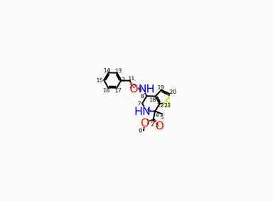 COC(=O)C1(C)NCC(NOCc2ccccc2)c2ccsc21